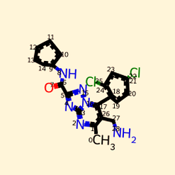 Cc1nc2nc(C(=O)Nc3ccccc3)nn2c(-c2ccc(Cl)cc2Cl)c1CN